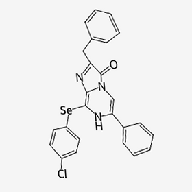 O=c1c(Cc2ccccc2)nc2c([Se]c3ccc(Cl)cc3)[nH]c(-c3ccccc3)cn1-2